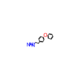 [N-]=[N+]=NCCc1ccc(Oc2ccccc2)cc1